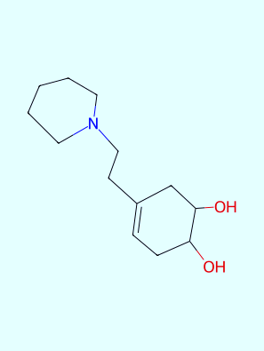 OC1CC=C(CCN2CCCCC2)CC1O